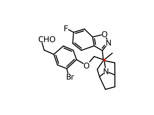 CC(COc1ccc(CC=O)cc1Br)N1C2CCC1CC(c1noc3cc(F)ccc13)C2